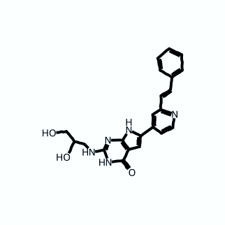 O=c1[nH]c(NCC(O)CO)nc2[nH]c(-c3ccnc(/C=C/c4ccccc4)c3)cc12